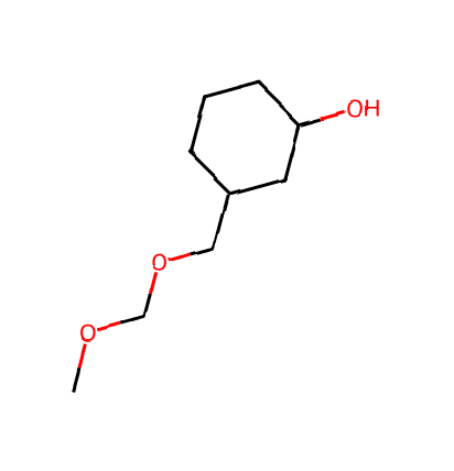 COCOCC1CCCC(O)C1